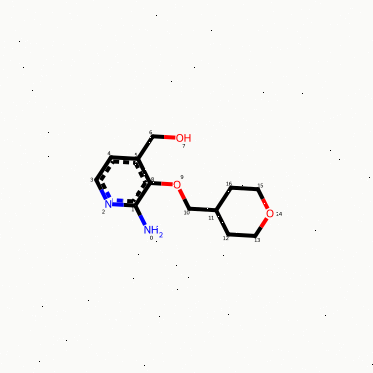 Nc1nccc(CO)c1OCC1CCOCC1